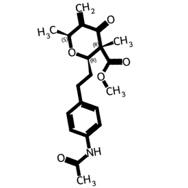 C=C1C(=O)[C@](C)(C(=O)OC)[C@@H](CCc2ccc(NC(C)=O)cc2)O[C@H]1C